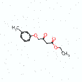 CCOC(=O)CC(=O)COc1cccc(C)c1